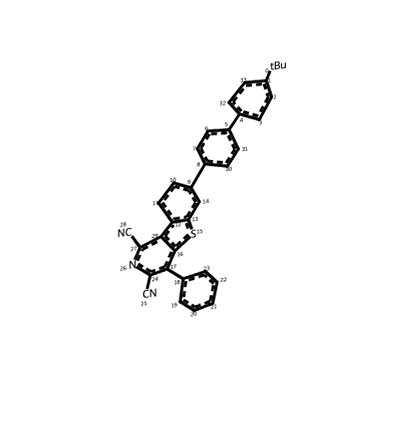 CC(C)(C)c1ccc(-c2ccc(-c3ccc4c(c3)sc3c(-c5ccccc5)c(C#N)nc(C#N)c34)cc2)cc1